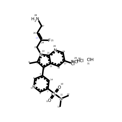 Cc1c(-c2cncc(S(=O)(=O)N(C)C)c2)c2cc(Cl)cnc2n1C/C(F)=C/CN.Cl.Cl.Cl